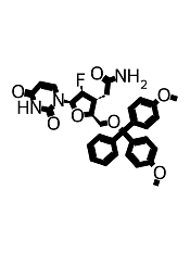 COc1ccc(C(OC[C@H]2O[C@@H](n3ccc(=O)[nH]c3=O)[C@H](F)[C@@H]2CC(N)=O)(c2ccccc2)c2ccc(OC)cc2)cc1